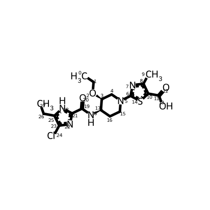 CCO[C@H]1CN(c2nc(C)c(C(=O)O)s2)CC[C@H]1NC(=O)c1nc(Cl)c(CC)[nH]1